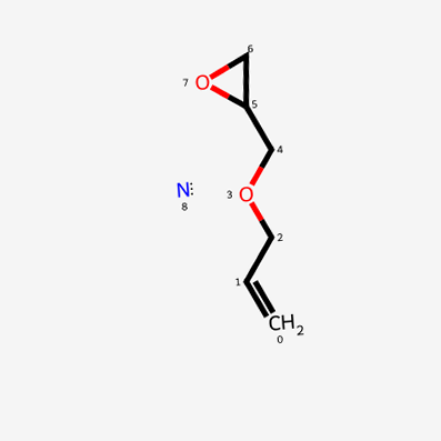 C=CCOCC1CO1.[N]